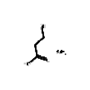 O=C(O)CCS.[BaH2]